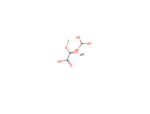 O=C(O)C(=O)OF.OB(O)O.[LiH]